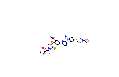 C[C@H](O)C(=O)N1CCC(Oc2ccc(-c3ccnc(Nc4ccc(C5CCN(C6COC6)CC5)cc4)n3)cc2C#N)C(F)(F)C1